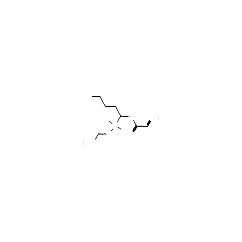 C=CC(=O)OC(CCCC)[Si](C)(C)OCC